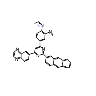 C=Nc1cc(-c2cc(-c3ccc4nccnc4c3)nc(-c3ccc4cc5ccccc5cc4c3)n2)ccc1/N=C\C